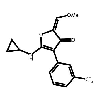 CO/C=C1/OC(NC2CC2)=C(c2cccc(C(F)(F)F)c2)C1=O